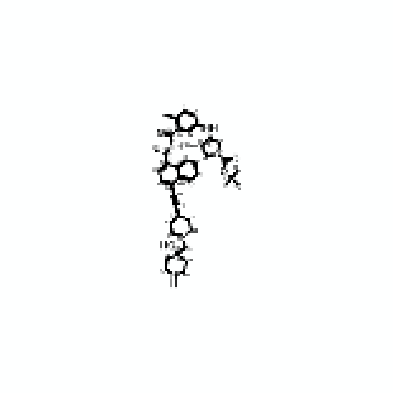 Cc1ccc(N[C@H]2CN(C(=O)OC(C)(C)C)C[C@@H]2F)cc1C(=O)N[C@H](C)c1ccc(C#CC2CCN(CC3(O)CCNCC3)CC2)c2ccccc12